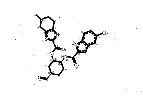 CN1CCc2nc(C(=O)N[C@@H]3C[C@H](C=O)CC[C@@H]3NC(=O)c3cc4cc(Cl)ccc4[nH]3)sc2C1